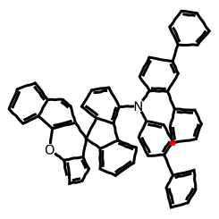 c1ccc(-c2ccc(N(c3ccc(-c4ccccc4)cc3-c3ccccc3)c3cccc4c3-c3ccccc3C43c4ccccc4Oc4c3ccc3ccccc43)cc2)cc1